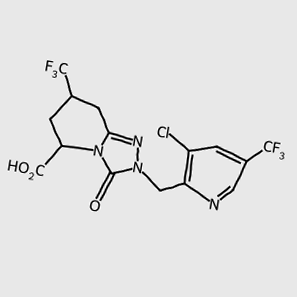 O=C(O)C1CC(C(F)(F)F)Cc2nn(Cc3ncc(C(F)(F)F)cc3Cl)c(=O)n21